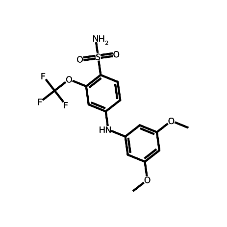 COc1cc(Nc2ccc(S(N)(=O)=O)c(OC(F)(F)F)c2)cc(OC)c1